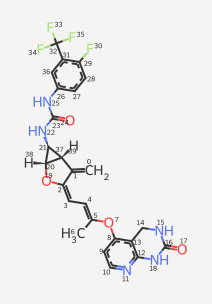 C=C1/C(=C\C=C(/C)Oc2ccnc3c2CNC(=O)N3)O[C@@H]2[C@@H](NC(=O)Nc3ccc(F)c(C(F)(F)F)c3)[C@H]12